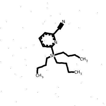 CCC[CH2][Sn]([CH2]CCC)([CH2]CCC)[c]1cccc(C#N)n1